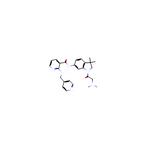 CN(C)CC(=O)N1CC(C)(C)c2ccc(NC(=O)c3cccnc3NCc3ccncc3)cc21